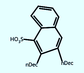 CCCCCCCCCCc1cc2ccccc2c(S(=O)(=O)O)c1CCCCCCCCCC